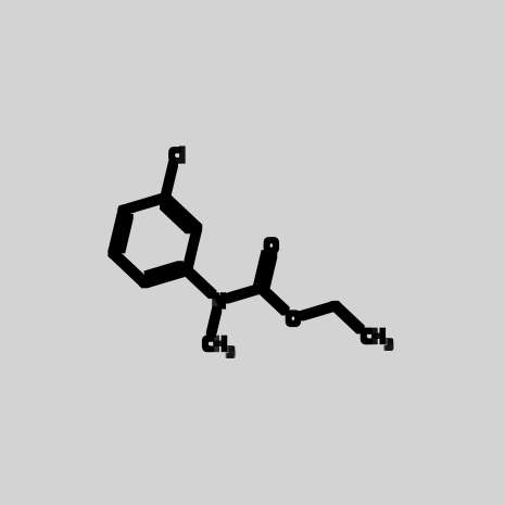 CCOC(=O)N(C)c1cccc(Cl)c1